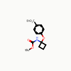 CCOC(=O)c1ccc(OC2(NC(=O)OC(C)(C)C)CCC2)cc1